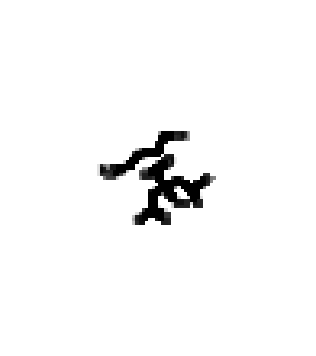 NCCCCO.O=C([O-])CC(O)(CC(=O)[O-])C(=O)[O-].[Fe+3]